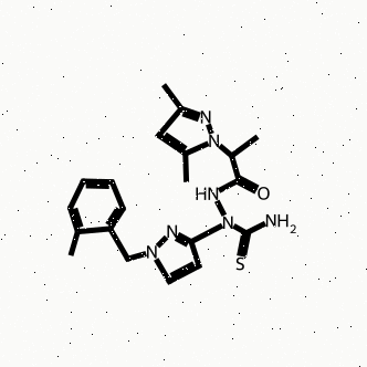 Cc1cc(C)n(C(C)C(=O)NN(C(N)=S)c2ccn(Cc3ccccc3C)n2)n1